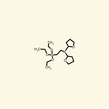 CCO[Si](CCN(C1CCCO1)C1CCCO1)(OCC)OCC